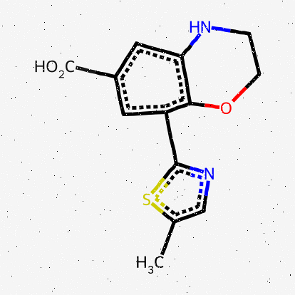 Cc1cnc(-c2cc(C(=O)O)cc3c2OCCN3)s1